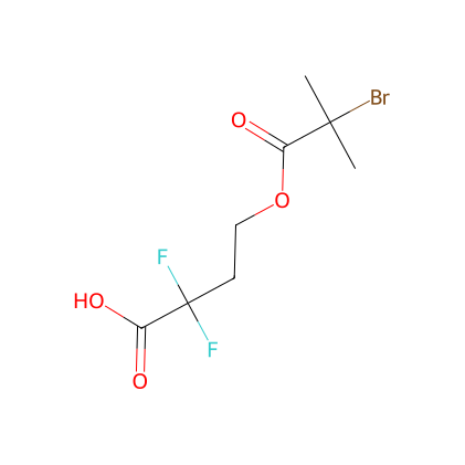 CC(C)(Br)C(=O)OCCC(F)(F)C(=O)O